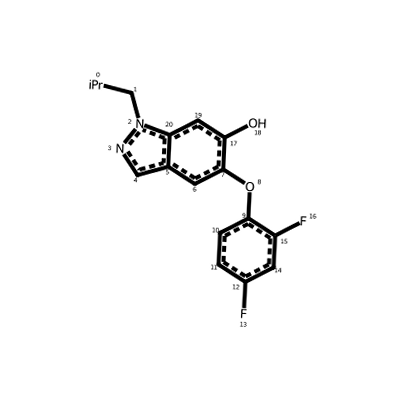 CC(C)Cn1ncc2cc(Oc3ccc(F)cc3F)c(O)cc21